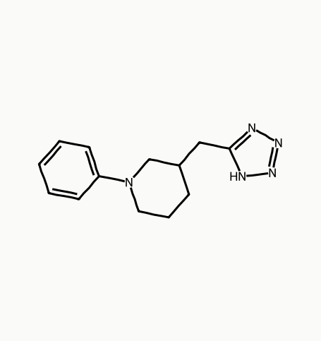 c1ccc(N2CCCC(Cc3nnn[nH]3)C2)cc1